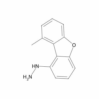 Cc1cccc2oc3cccc(NN)c3c12